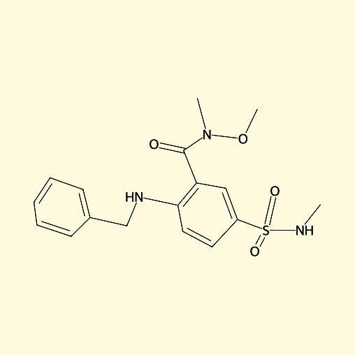 CNS(=O)(=O)c1ccc(NCc2ccccc2)c(C(=O)N(C)OC)c1